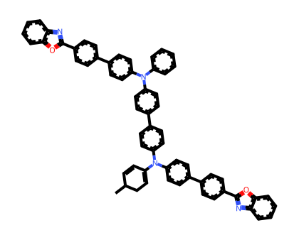 CC1C=CC(N(c2ccc(-c3ccc(-c4nc5ccccc5o4)cc3)cc2)c2ccc(-c3ccc(N(c4ccccc4)c4ccc(-c5ccc(-c6nc7ccccc7o6)cc5)cc4)cc3)cc2)=CC1